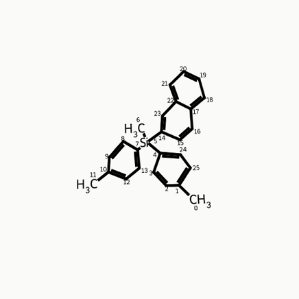 Cc1ccc([Si](C)(c2ccc(C)cc2)c2ccc3ccccc3c2)cc1